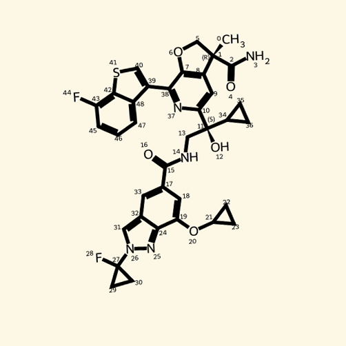 C[C@]1(C(N)=O)COc2c1cc([C@@](O)(CNC(=O)c1cc(OC3CC3)c3nn(C4(F)CC4)cc3c1)C1CC1)nc2-c1csc2c(F)cccc12